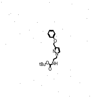 CC(C)(C)OC(=O)NCCn1ccc(COc2ccccc2)n1